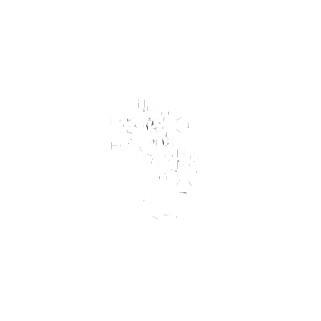 CC(=O)O[C@@]12CO[C@@H]1C[C@H](O)[C@@]1(C)C(=O)[C@H](O)C3=C(C)[C@@H](OC(=O)[C@H](OCCCC4C(=O)C=CC4=O)[C@@H](NC(=O)OC(C)(C)C)c4ccccc4)C[C@@](O)([C@@H](OC(=O)c4ccccc4)[C@H]21)C3(C)C